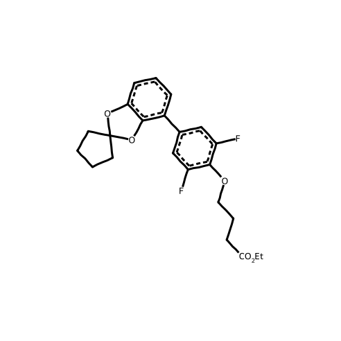 CCOC(=O)CCCOc1c(F)cc(-c2cccc3c2OC2(CCCC2)O3)cc1F